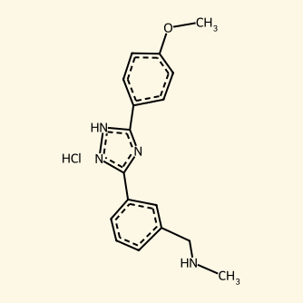 CNCc1cccc(-c2n[nH]c(-c3ccc(OC)cc3)n2)c1.Cl